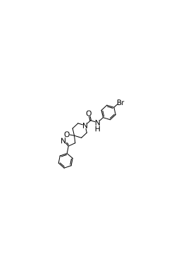 O=C(Nc1ccc(Br)cc1)N1CCC2(CC1)CC(c1ccccc1)=NO2